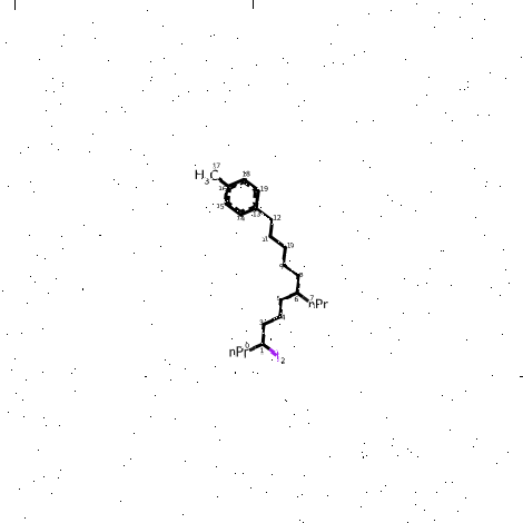 CCCC(I)CCCC(CCC)CCCCCc1ccc(C)cc1